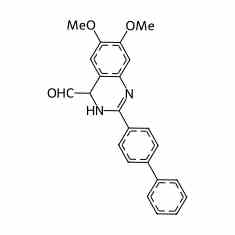 COc1cc2c(cc1OC)C(C=O)NC(c1ccc(-c3ccccc3)cc1)=N2